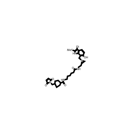 CCc1c(SC)[nH]c2c(CN3CC3CCNC(=O)CCCCCNC(=O)C3CCC(CN4C(=O)C=CC4=O)CC3)c(O)ccc12